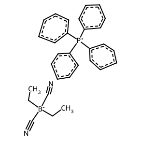 CC[B-](C#N)(C#N)CC.c1ccc([P+](c2ccccc2)(c2ccccc2)c2ccccc2)cc1